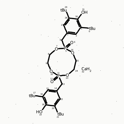 CC(C)(C)c1cc(CP2(=O)OCCOP(=O)(Cc3cc(C(C)(C)C)c(O)c(C(C)(C)C)c3)OCCO2)cc(C(C)(C)C)c1O.[CaH2]